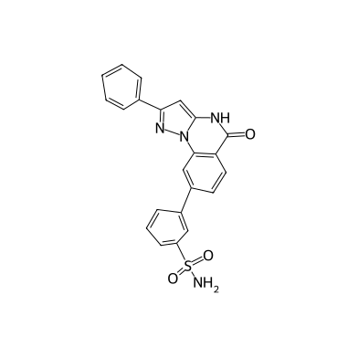 NS(=O)(=O)c1cccc(-c2ccc3c(=O)[nH]c4cc(-c5ccccc5)nn4c3c2)c1